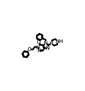 O=c1c2c(cnn1CCOc1ccccc1)nc(N1CCNCC1)n2Cc1ccccc1